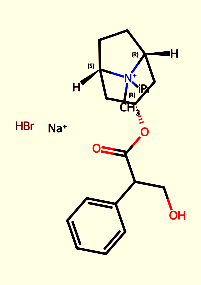 Br.CC(C)[N+]1(C)[C@@H]2CC[C@H]1C[C@@H](OC(=O)C(CO)c1ccccc1)C2.[Na+]